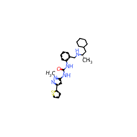 C[C@@H](CC1CCCCC1)NCc1ccccc1NC(=O)Nc1cc(-c2cccs2)nn1C